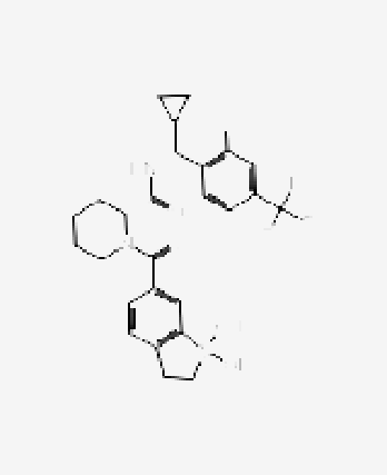 O=C(N[C@@H](c1ccc(C(F)(F)F)cc1F)C1CC1)[C@H]1CCCCN1C(=O)c1ccc2c(c1)S(O)(O)CC2